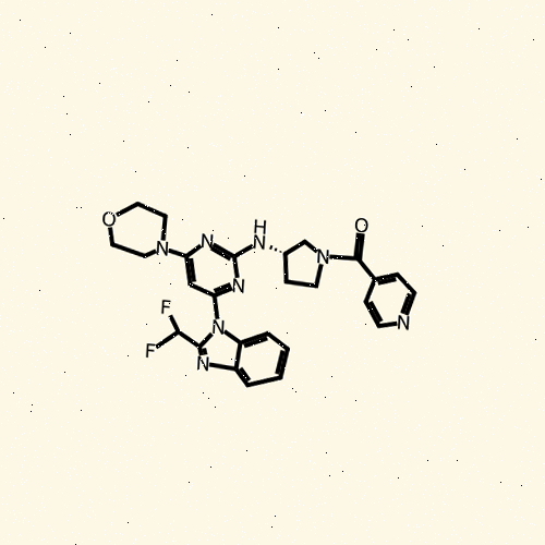 O=C(c1ccncc1)N1CC[C@H](Nc2nc(N3CCOCC3)cc(-n3c(C(F)F)nc4ccccc43)n2)C1